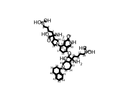 NC(CCCCB(O)O)(C(=O)O)C1CCN(C2CCC(OC(O)C(N)(CCCCB(O)O)C3CCCN(C4CCCc5ccccc54)CC3)c3c[nH]c(=O)cc32)C1